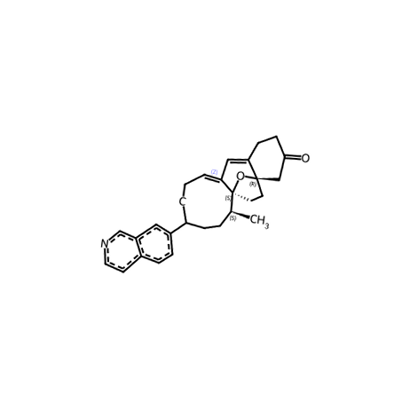 C[C@H]1CCC(c2ccc3ccncc3c2)CC/C=C2/C=C3CCC(=O)C[C@]34CC[C@@]21O4